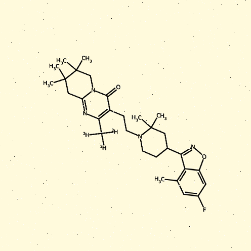 [2H]C([2H])([2H])c1nc2n(c(=O)c1CCN1CCC(c3noc4cc(F)cc(C)c34)CC1(C)C)CC(C)(C)C(C)(C)C2